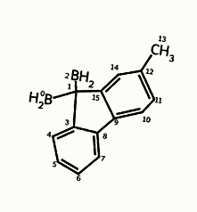 BC1(B)c2ccccc2-c2ccc(C)cc21